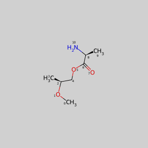 CO[C@@H](C)COC(=O)[C@H](C)N